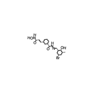 Cc1cc(Br)cc(/C=N/NC(=O)c2cccc(/C=C/C(=O)NO)c2)c1O